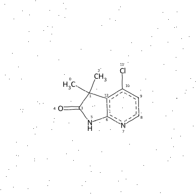 CC1(C)C(=O)Nc2nccc(Cl)c21